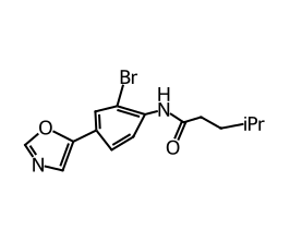 CC(C)CCC(=O)Nc1ccc(-c2cnco2)cc1Br